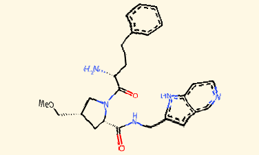 COC[C@H]1C[C@@H](C(=O)NCc2cc3cnccc3[nH]2)N(C(=O)[C@H](N)CCc2ccccc2)C1